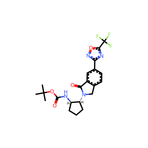 CC(C)(C)OC(=O)N[C@@H]1CCC[C@H]1N1Cc2ccc(-c3noc(C(F)(F)F)n3)cc2C1=O